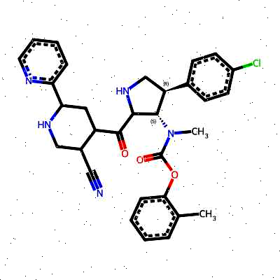 Cc1ccccc1OC(=O)N(C)[C@@H]1C(C(=O)C2CC(c3ccccn3)NCC2C#N)NC[C@H]1c1ccc(Cl)cc1